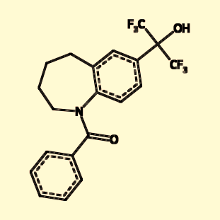 O=C(c1ccccc1)N1CCCCc2cc(C(O)(C(F)(F)F)C(F)(F)F)ccc21